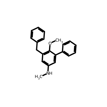 CNc1cc(Cc2ccccc2)c(OC)c(-c2ccccc2)c1